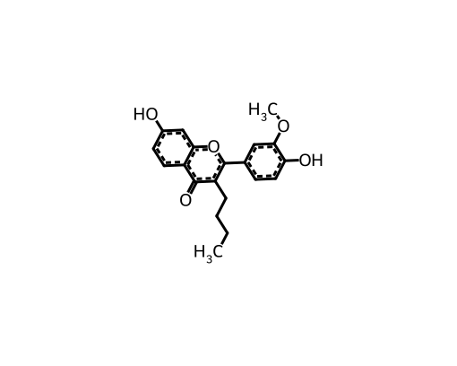 CCCCc1c(-c2ccc(O)c(OC)c2)oc2cc(O)ccc2c1=O